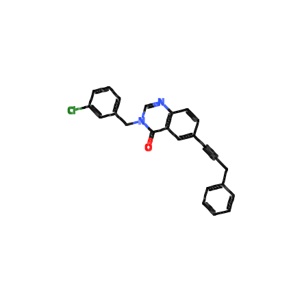 O=c1c2cc(C#CCc3ccccc3)ccc2ncn1Cc1cccc(Cl)c1